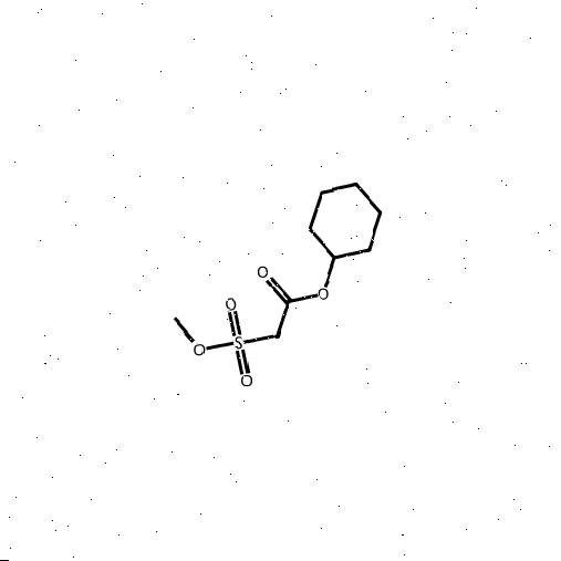 COS(=O)(=O)CC(=O)OC1CCCCC1